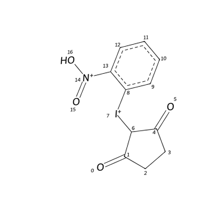 O=C1CCC(=O)C1[I+]c1ccccc1[N+](=O)O